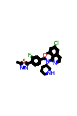 Cc1nnc(-c2ccc(C(=O)N(c3nccc4cc(Cl)cc(C)c34)[C@@H]3CCCNC3)cc2F)s1